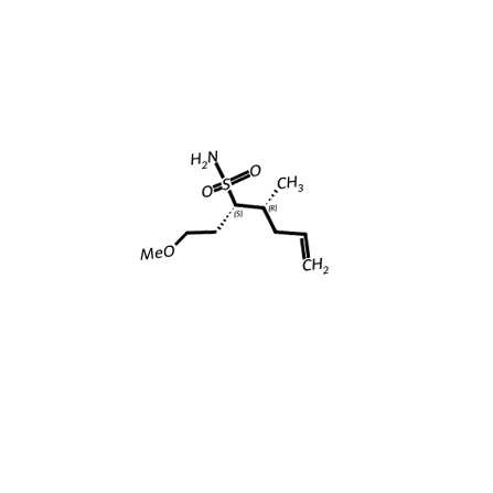 C=CC[C@@H](C)[C@H](CCOC)S(N)(=O)=O